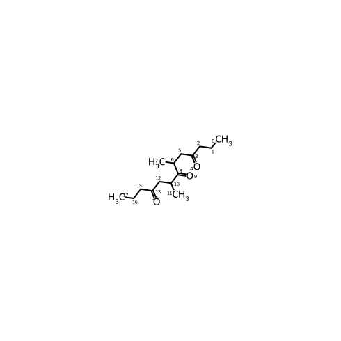 CCCC(=O)CC(C)C(=O)C(C)CC(=O)CCC